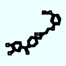 COc1cccc(OCCNCC2(F)CCN(C(=O)c3ccc(Cl)c(Cl)c3)CC2)c1